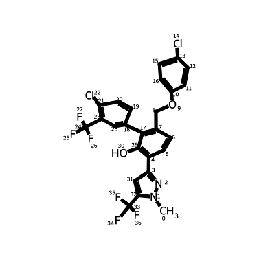 Cn1nc(-c2ccc(COc3ccc(Cl)cc3)c(-c3ccc(Cl)c(C(F)(F)F)c3)c2O)cc1C(F)(F)F